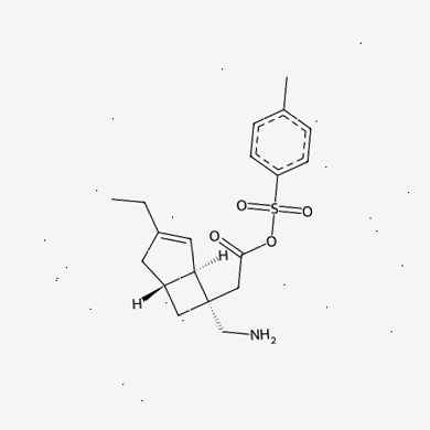 CCC1=C[C@@H]2[C@@H](C1)C[C@]2(CN)CC(=O)OS(=O)(=O)c1ccc(C)cc1